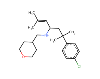 CC(C)=CC(CC(C)(C)c1ccc(Cl)cc1)NCC1CCOCC1